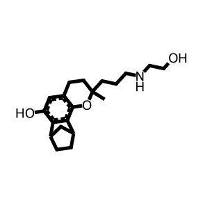 CC1(CCCNCCO)CCc2cc(O)c3c(c2O1)C1CCC3C1